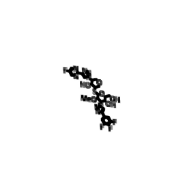 COC1C(SC2COCC(n3cc(-c4ncc(F)cn4)nn3)C2O)OC(CO)C(O)C1n1cc(-c2cc(F)c(F)c(F)c2)nn1